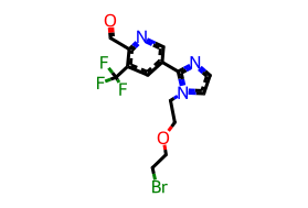 O=Cc1ncc(-c2nccn2CCOCCBr)cc1C(F)(F)F